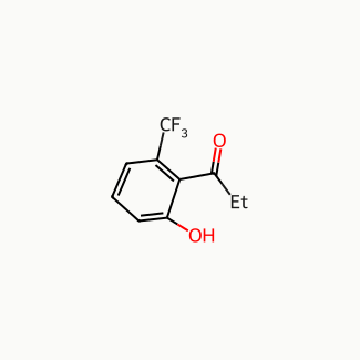 CCC(=O)c1c(O)cccc1C(F)(F)F